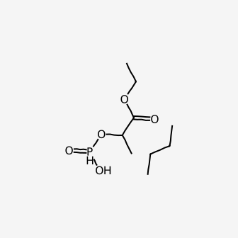 CCCC.CCOC(=O)C(C)O[PH](=O)O